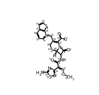 CON=C(C(=O)NC1C(=O)N2C(C(=O)[O-])=C(C[n+]3cccc4ccsc43)CS[C@@H]12)c1nsc(N)n1